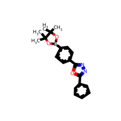 CC1(C)OB(c2ccc(-c3nnc(-c4ccccc4)o3)cc2)OC1(C)C